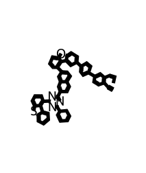 C#Cc1ccc(-c2ccc(-c3ccc4oc5cccc(-c6ccc7ccc(-c8nc(-c9cccc%10sc%11ccccc%11c9%10)nc(C9C=CC=CC9)n8)cc7c6)c5c4c3)cc2)cc1/C=C\C